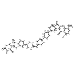 Nc1ccc(F)c(C(=O)c2c[nH]c3ncc(-c4ccc(N5CCC(CN6CCC(c7ccc8c(c7)CN([C@H]7CCC(=O)NC7=O)C8=O)CC6)CC5)cc4)cc23)c1F